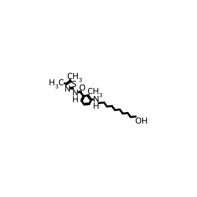 Cc1nc(NC(=O)c2cccc(NCCCCCCCCCCO)c2C)sc1C